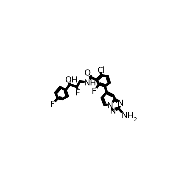 Nc1nc2cc(-c3ccc(Cl)c(C(=O)NCC(F)C(O)c4ccc(F)cc4)c3F)ccn2n1